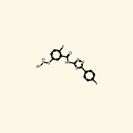 CC(C)NSc1ccc(F)c(C(=O)Nc2nnc(-c3ccc(F)cc3)s2)c1